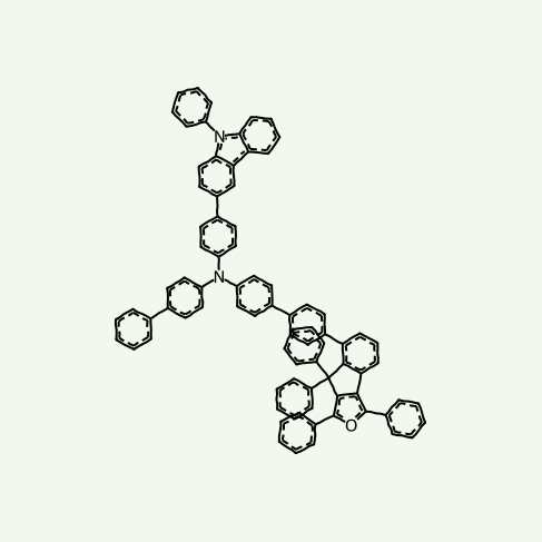 c1ccc(-c2ccc(N(c3ccc(-c4ccc(-c5cccc6c5C(c5ccccc5)(c5ccccc5)c5c(-c7ccccc7)oc(-c7ccccc7)c5-6)cc4)cc3)c3ccc(-c4ccc5c(c4)c4ccccc4n5-c4ccccc4)cc3)cc2)cc1